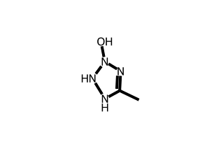 CC1=NN(O)NN1